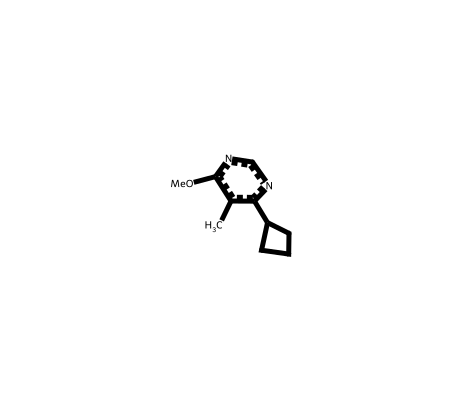 COc1ncnc(C2CCC2)c1C